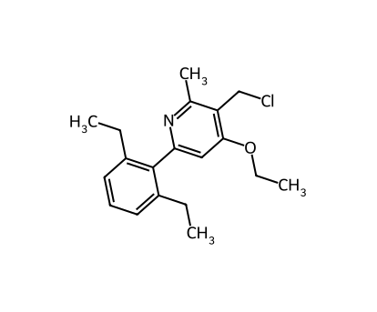 CCOc1cc(-c2c(CC)cccc2CC)nc(C)c1CCl